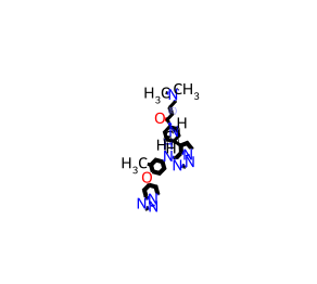 Cc1cc(Nc2ncnn3ccc([C@H]4C[C@H]5CC[C@@H]4CN5C(=O)/C=C/CN(C)C)c23)ccc1Oc1ccn2ncnc2c1